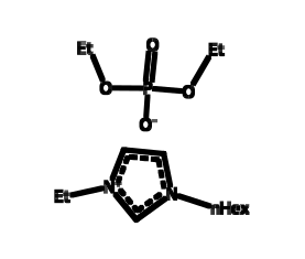 CCCCCCn1cc[n+](CC)c1.CCOP(=O)([O-])OCC